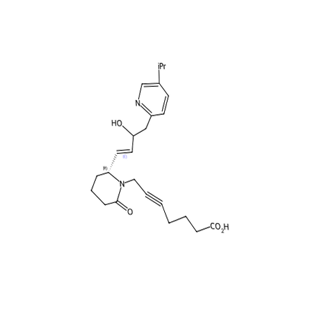 CC(C)c1ccc(CC(O)/C=C/[C@H]2CCCC(=O)N2CC#CCCCC(=O)O)nc1